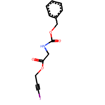 O=C(CNC(=O)OCc1ccccc1)OCC#CI